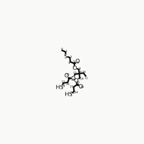 CCSCCC(=O)OCC(CC)(COC(=O)CCS)COC(=O)CCS